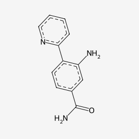 NC(=O)c1ccc(-c2ccccn2)c(N)c1